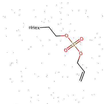 C=CCOS(=O)(=O)OCCCCCCCC